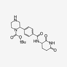 CC(C)(C)OC(=O)N1CCNCC1c1ccc(C(=O)NC2CCC(=O)NC2=O)cc1